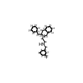 Fc1cccc(CNCCN2Cc3ccccc3CC2Cc2ccccc2)c1